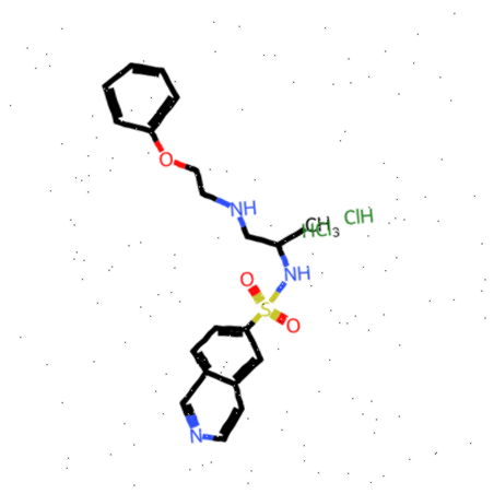 CC(CNCCOc1ccccc1)NS(=O)(=O)c1ccc2cnccc2c1.Cl.Cl